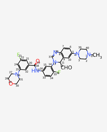 CN1CCN(c2ccc3c(c2)C(C=O)N(c2cc(NC(=O)c4cc(F)cc(N5CCOCC5)c4)ccc2F)C=N3)CC1